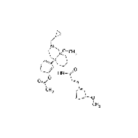 COc1cccc(C=CC(=O)N[C@H]2CC[C@]3(OC)CN(CC4CC4)CC[C@@]3(c3cccc(OC(C)=O)c3)C2)c1